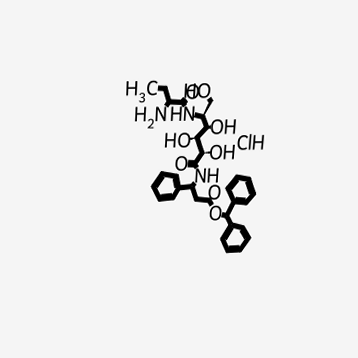 CCC(N)C(=O)N[C@@H](CO)[C@@H](O)[C@@H](O)[C@H](O)C(=O)NC(CC(=O)OC(c1ccccc1)c1ccccc1)c1ccccc1.Cl